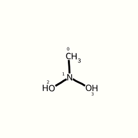 CN(O)O